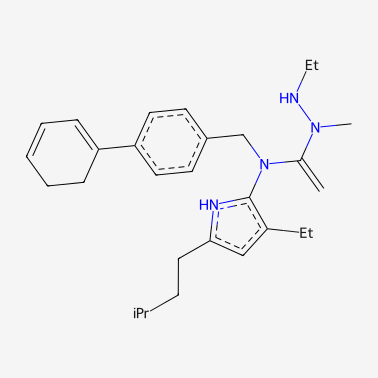 C=C(N(C)NCC)N(Cc1ccc(C2=CC=CCC2)cc1)c1[nH]c(CCC(C)C)cc1CC